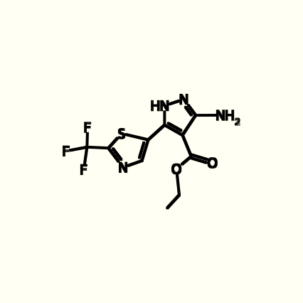 CCOC(=O)c1c(N)n[nH]c1-c1cnc(C(F)(F)F)s1